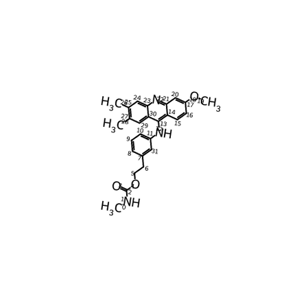 CNC(=O)OCCc1cccc(Nc2c3ccc(OC)cc3nc3cc(C)c(C)cc23)c1